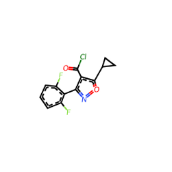 O=C(Cl)c1c(-c2c(F)cccc2F)noc1C1CC1